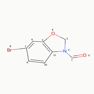 O=CN1COc2cc(Br)ccc21